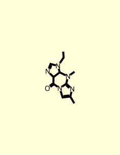 CCN1C=NC2C(=O)n3cc(C)nc3N(C)C21